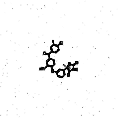 CCCc1cc(C(=O)c2ccc(Cl)c(C)c2)ccc1Oc1cccc([C@@]2(C)OC(=O)NC2=O)c1